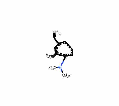 C=Cc1cccc(N(C)C)c1CC